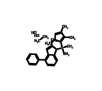 CC.CC1=CC(C)[C]([Zr]([CH3])([SiH3])[CH]2C(C)=Cc3c(-c4ccccc4)cccc32)=C1C.Cl.Cl